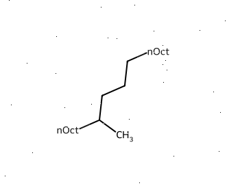 [CH2]CCCCCCCC(C)CCCCCCCCCCC